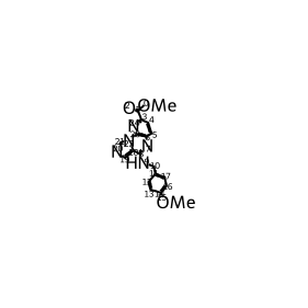 COC(=O)c1ccc2nc(NCc3ccc(OC)cc3)c3cncn3c2n1